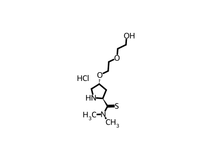 CN(C)C(=S)[C@@H]1C[C@@H](OCCOCCO)CN1.Cl